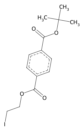 CC(C)(C)OC(=O)c1ccc(C(=O)OCCI)cc1